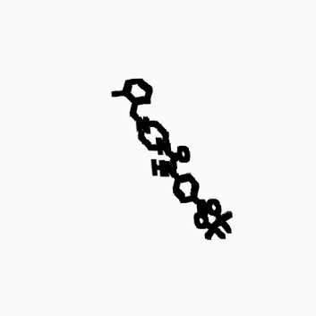 Cc1ccccc1CN1CCN(C(=O)Nc2ccc(B3OC(C)(C)C(C)(C)O3)cc2)CC1